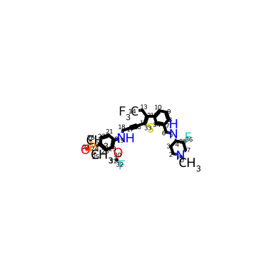 CN1CC[C@H](NCc2cccc3c(CC(F)(F)F)c(C#CCNc4ccc(P(C)(C)=O)cc4OCF)sc23)[C@H](F)C1